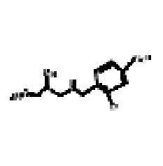 COCC(O)CNCc1ccc(C(=O)O)cc1Br